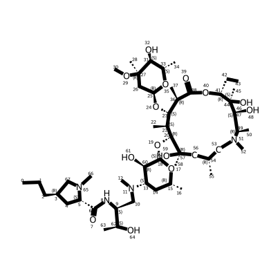 CCC[C@@H]1C[C@@H](C(=O)N[C@@H](CN(C)[C@H]2C[C@@H](C)O[C@@H](O[C@@H]3[C@@H](C)[C@H](O[C@H]4C[C@@](C)(OC)[C@@H](O)[C@H](C)O4)[C@@H](C)C(=O)O[C@H](CC)[C@@](C)(O)[C@@H](O)[C@@H](C)N(C)C[C@H](C)C[C@@]3(C)O)[C@@H]2O)[C@H](C)O)N(C)C1